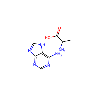 CC(N)C(=O)O.Nc1ncnc2nc[nH]c12